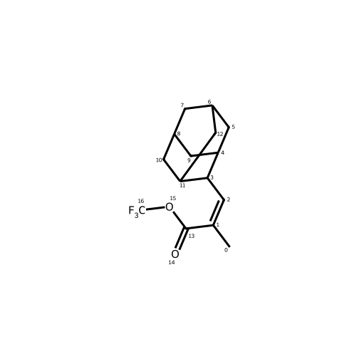 CC(=CC1C2CC3CC(C2)CC1C3)C(=O)OC(F)(F)F